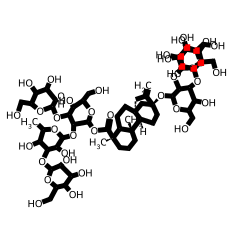 C=C1C[C@@]23CCC4[C@](C)(C(=O)OC5OC(CO)C(O)C(OC6OC(CO)C(O)C(O)C6O)C5OC5OC(C)C(O)C(OC6OC(CO)C(O)C(O)C6O)C5O)CCC[C@@]4(C)[C@@H]2CC[C@]1(OC1OC(CO)C(O)C(OC2OC(CO)C(O)C(O)C2O)C1OC1OC(CO)C(O)C(O)C1O)C3